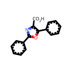 O=C(O)c1nc(-c2ccccc2)oc1-c1ccccc1